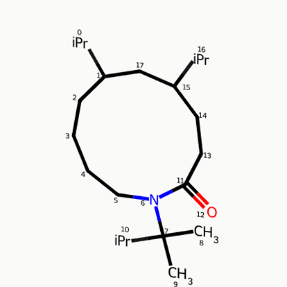 CC(C)C1CCCCN(C(C)(C)C(C)C)C(=O)CCC(C(C)C)C1